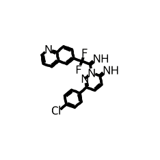 N=C(n1nc(-c2ccc(Cl)cc2)ccc1=N)C(F)(F)c1ccc2ncccc2c1